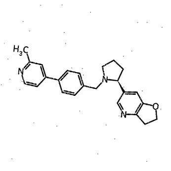 Cc1cc(-c2ccc(CN3CCC[C@H]3c3cnc4c(c3)OCC4)cc2)ccn1